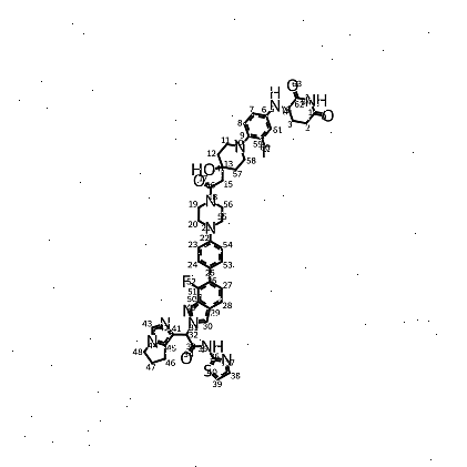 O=C1CC[C@H](Nc2ccc(N3CCC(O)(CC(=O)N4CCN(c5ccc(-c6ccc7cn(C(C(=O)Nc8nccs8)c8ncn9c8CCC9)nc7c6F)cc5)CC4)CC3)c(F)c2)C(=O)N1